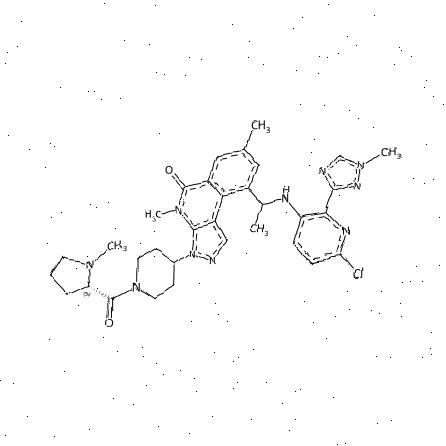 Cc1cc(C(C)Nc2ccc(Cl)nc2-c2ncn(C)n2)c2c(c1)c(=O)n(C)c1c2cnn1C1CCN(C(=O)[C@@H]2CCCN2C)CC1